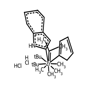 C[C](C)=[Zr]([CH3])([CH3])([CH3])([CH3])([C]1=CC=CC1)([c]1cc2ccccc2[nH]1)([C](C)(C)C)[C](C)(C)C.Cl.Cl